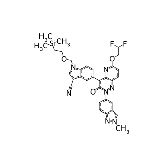 Cn1cc2cc(-n3nc4ccc(OCC(F)F)nc4c(-c4ccc5c(c4)c(C#N)cn5COCC[Si](C)(C)C)c3=O)ccc2n1